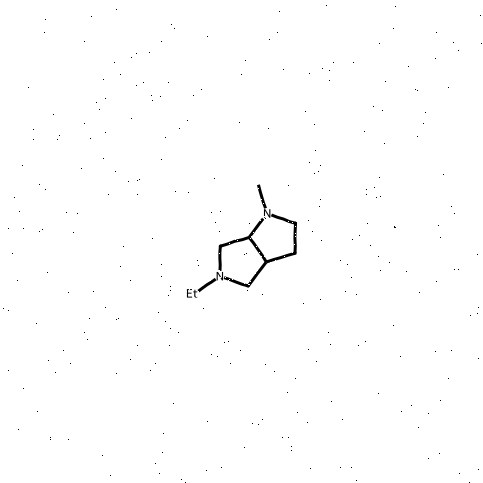 CCN1CC2CCN(C)C2C1